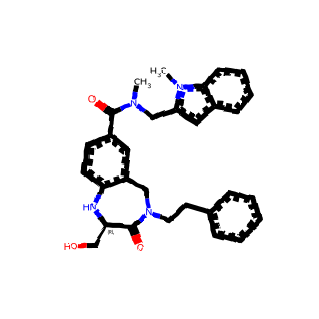 CN(Cc1cc2ccccc2n1C)C(=O)c1ccc2c(c1)CN(CCc1ccccc1)C(=O)[C@@H](CO)N2